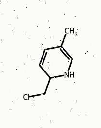 CC1=CNC(CCl)C=C1